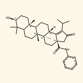 CC(C)C1=C2[C@H]3CCC4[C@@]5(C)CC[C@H](O)C(C)(C)C5CC[C@@]4(C)[C@]3(C)CC[C@@]2(C(=O)Nc2ccccn2)CC1=O